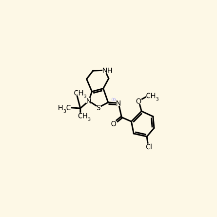 COc1ccc(Cl)cc1C(=O)/N=c1\sn(C(C)(C)C)c2c1CNCC2